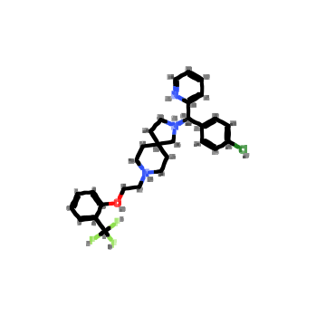 FC(F)(F)c1ccccc1OCCN1CCC2(CC1)CCN([C@H](c1ccc(Cl)cc1)c1ccccn1)C2